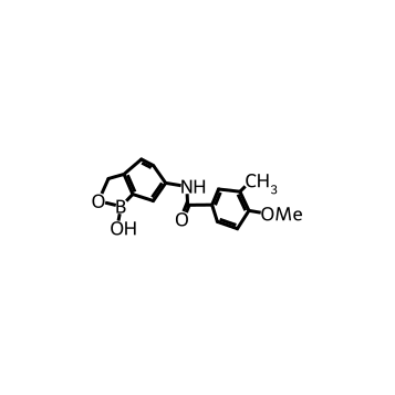 COc1ccc(C(=O)Nc2ccc3c(c2)B(O)OC3)cc1C